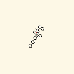 CC1CC=C(c2ccccc2N(c2ccccc2)c2ccc(-c3ccc(-c4ccccc4)cc3)cc2)C=C1c1cccc2ccccc12